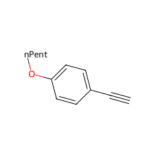 C#Cc1ccc(OCCCCC)cc1